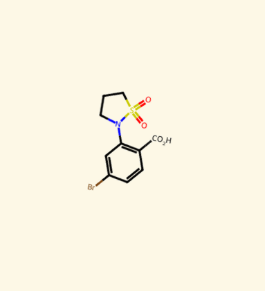 O=C(O)c1ccc(Br)cc1N1CCCS1(=O)=O